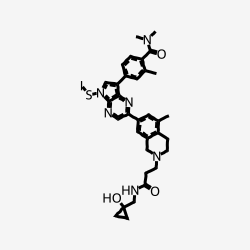 Cc1cc(-c2cn(SI)c3ncc(-c4cc(C)c5c(c4)CN(CCC(=O)NCC4(O)CC4)CC5)nc23)ccc1C(=O)N(C)C